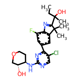 CCC(C)(O)C1=Nc2c(F)cc(-c3nc(N[C@@H]4CCOC[C@H]4O)ncc3Cl)cc2C1(C)C